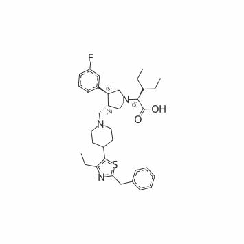 CCc1nc(Cc2ccccc2)sc1C1CCN(C[C@H]2CN([C@H](C(=O)O)C(CC)CC)C[C@@H]2c2cccc(F)c2)CC1